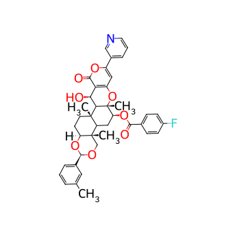 Cc1cccc([C@@H]2OC[C@@]3(C)C4C[C@H](OC(=O)c5ccc(F)cc5)[C@@]5(C)Oc6cc(-c7cccnc7)oc(=O)c6[C@H](O)C5[C@@]4(C)CC[C@@H]3O2)c1